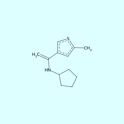 C=C(NC1CCCC1)c1csc(C)c1